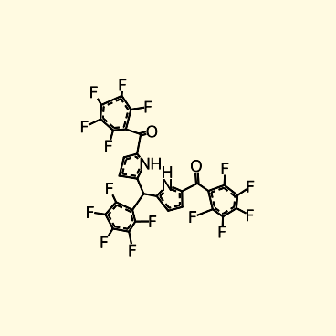 O=C(c1ccc(C(c2ccc(C(=O)c3c(F)c(F)c(F)c(F)c3F)[nH]2)c2c(F)c(F)c(F)c(F)c2F)[nH]1)c1c(F)c(F)c(F)c(F)c1F